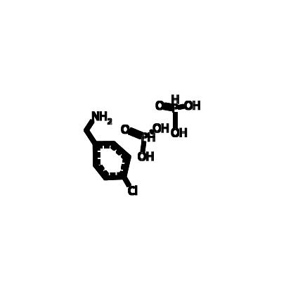 NCc1ccc(Cl)cc1.O=[PH](O)O.O=[PH](O)O